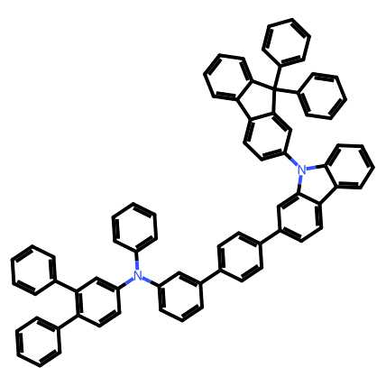 c1ccc(-c2ccc(N(c3ccccc3)c3cccc(-c4ccc(-c5ccc6c7ccccc7n(-c7ccc8c(c7)C(c7ccccc7)(c7ccccc7)c7ccccc7-8)c6c5)cc4)c3)cc2-c2ccccc2)cc1